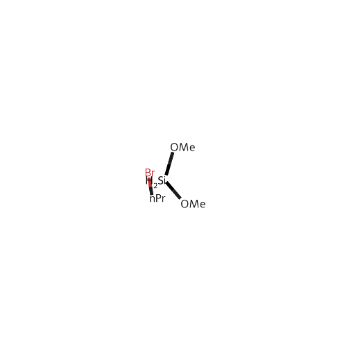 CCCBr.CO[SiH2]OC